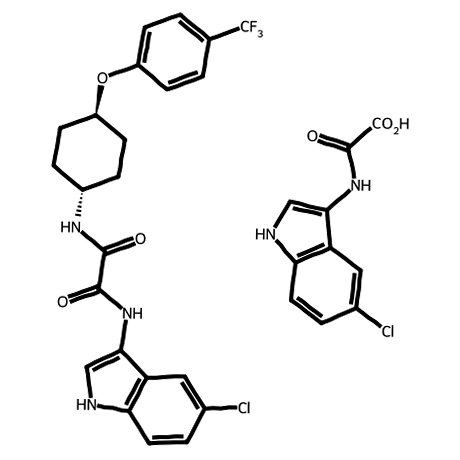 O=C(Nc1c[nH]c2ccc(Cl)cc12)C(=O)N[C@H]1CC[C@H](Oc2ccc(C(F)(F)F)cc2)CC1.O=C(O)C(=O)Nc1c[nH]c2ccc(Cl)cc12